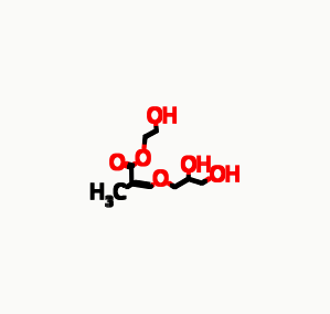 CC(=COCC(O)CO)C(=O)OCCO